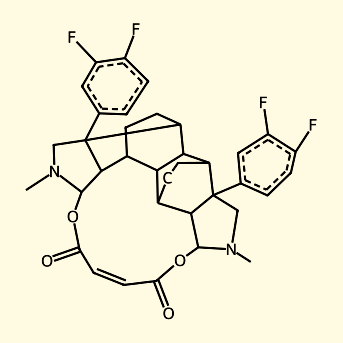 CN1CC2(c3ccc(F)c(F)c3)C3CCC4C5C6CCC(C53)C3(c5ccc(F)c(F)c5)CN(C)C(OC(=O)/C=C\C(=O)OC1C42)C63